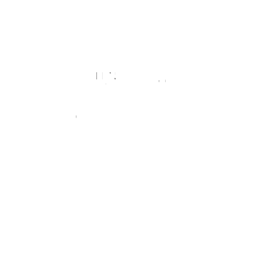 C=CCC(CCl)C(N)=O